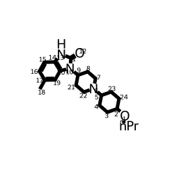 CCCOC1CCC(N2CCC(n3c(=O)[nH]c4ccc(C)cc43)CC2)CC1